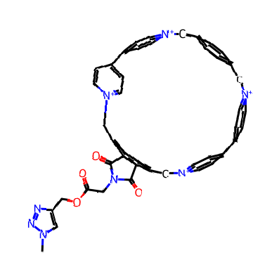 Cn1cc(COC(=O)CN2C(=O)c3c4ccc(c3C2=O)C[n+]2ccc(cc2)-c2cc[n+](cc2)Cc2ccc(cc2)C[n+]2ccc(cc2)-c2cc[n+](cc2)C4)nn1